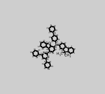 CC1(C)c2ccccc2-c2ccc(N(c3ccc(-c4ccccc4)cc3)c3ccc(-c4nc(-c5ccccc5)cc(-c5ccccc5)n4)c4c3oc3ccccc34)cc21